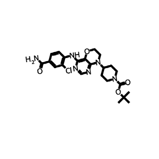 CC(C)(C)OC(=O)N1CCC(N2CCOc3c(Nc4ccc(C(N)=O)cc4Cl)ncnc32)CC1